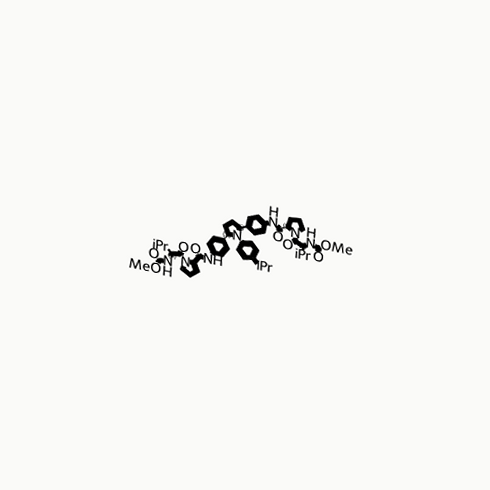 COC(=O)N[C@H](C(=O)N1CCC=C1C(=O)Nc1ccc([C@@H]2CC[C@@H](c3ccc(NC(=O)[C@@H]4CCCN4C(=O)[C@@H](NC(=O)OC)C(C)C)cc3)N2c2ccc(C(C)C)cc2)cc1)C(C)C